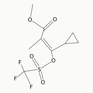 COC(=O)C(C)=C(OS(=O)(=O)C(F)(F)F)C1CC1